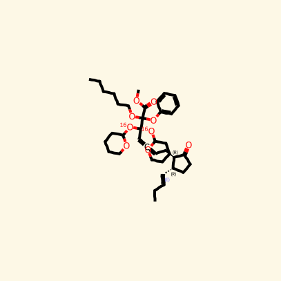 CC/C=C/[C@H]1CCC(=O)[C@@H]1CC=C=CC([16O]C1CCCCO1)([16O]C1CCCCO1)C(OCCCCCC)(Oc1ccccc1)C(=O)OC